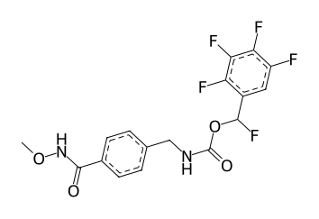 CONC(=O)c1ccc(CNC(=O)OC(F)c2cc(F)c(F)c(F)c2F)cc1